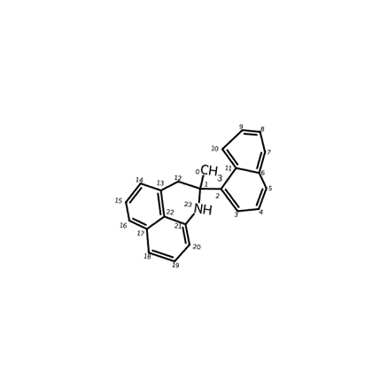 CC1(c2cccc3ccccc23)Cc2cccc3cccc(c23)N1